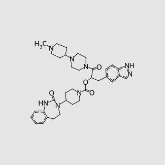 CN1CCC(N2CCN(C(=O)C(Cc3ccc4[nH]ncc4c3)OC(=O)N3CCC(N4CCc5ccccc5NC4=O)CC3)CC2)CC1